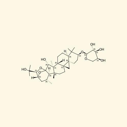 C[C@@H]1C[C@H]2OC3(O[C@@H]2C(C)(C)O)[C@H](O)[C@@]2(C)[C@@H]4CC[C@H]5C(C)(C)[C@@H](O[C@@H]6OC[C@H](O)[C@H](O)[C@H]6O)CC[C@@]56C[C@@]46CC[C@]2(C)[C@@H]13